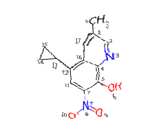 Cc1cnc2c(O)c([N+](=O)[O-])cc(C3CC3)c2c1